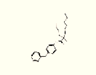 CCCCCCC(C)(CCCC)C(=O)Oc1ccc(Cc2ccccc2)cc1